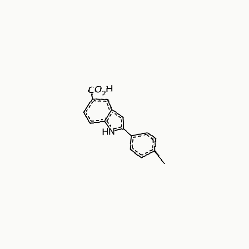 Cc1ccc(-c2cc3cc(C(=O)O)ccc3[nH]2)cc1